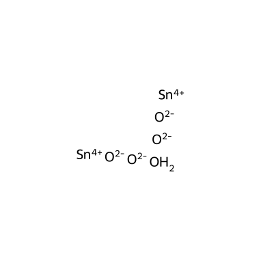 O.[O-2].[O-2].[O-2].[O-2].[Sn+4].[Sn+4]